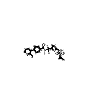 Cc1ncccc1-c1ccc(C(=O)NC(C)(C)c2csc(NS(=O)(=O)C3CC3)n2)cc1